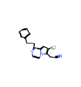 N#CCc1c(Cl)cc2c(CCc3ccccc3)nccn12